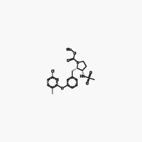 Cc1ccc(Cl)nc1Oc1cccc(C[C@H]2[C@@H](NS(C)(=O)=O)CCN2C(=O)OC(C)(C)C)c1